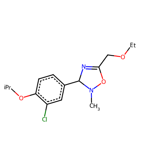 CCOCC1=NC(c2ccc(OC(C)C)c(Cl)c2)N(C)O1